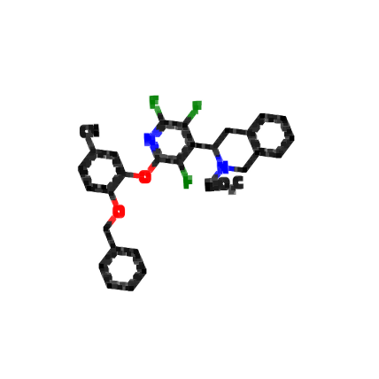 CCOC(=O)N1Cc2ccccc2CC1c1c(F)c(F)nc(Oc2cc(C#N)ccc2OCc2ccccc2)c1F